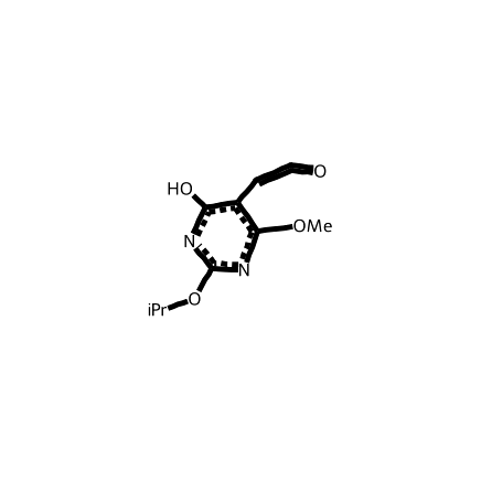 COc1nc(OC(C)C)nc(O)c1C=C=O